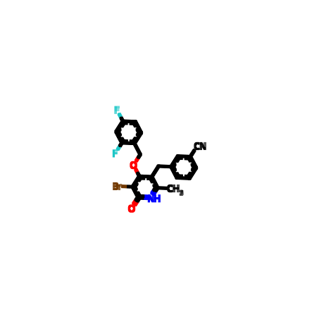 Cc1[nH]c(=O)c(Br)c(OCc2ccc(F)cc2F)c1Cc1cccc(C#N)c1